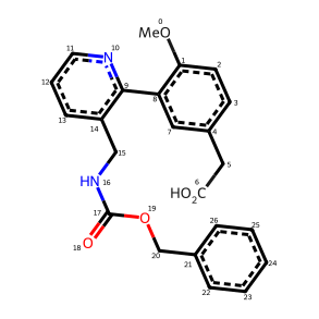 COc1ccc(CC(=O)O)cc1-c1ncccc1CNC(=O)OCc1ccccc1